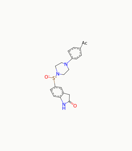 CC(=O)c1ccc(N2CCN([S+]([O-])c3ccc4c(c3)CC(=O)N4)CC2)cc1